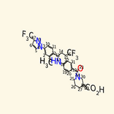 Cc1cc(-n2ccc(C(F)(F)F)n2)ccc1C(CCC(F)(F)F)Nc1ccc(C(=O)N2CCC[C@@H](C(=O)O)C2)cc1